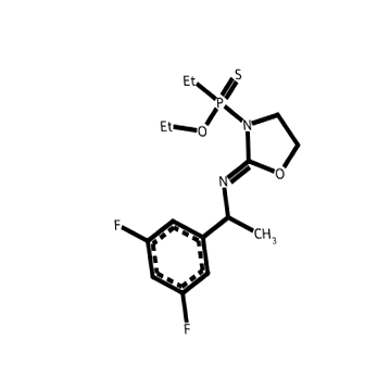 CCOP(=S)(CC)N1CCOC1=NC(C)c1cc(F)cc(F)c1